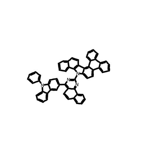 c1ccc(-n2c3ccccc3c3cc(-c4nc(-n5c6ccc7c8ccccc8c8ccccc8c7c6c6ccc7ccccc7c65)nc5c4ccc4ccccc45)ccc32)cc1